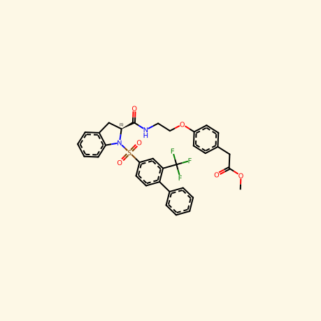 COC(=O)Cc1ccc(OCCNC(=O)[C@@H]2Cc3ccccc3N2S(=O)(=O)c2ccc(-c3ccccc3)c(C(F)(F)F)c2)cc1